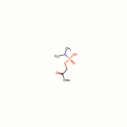 COC(=O)COP(=O)(O)N(C)C